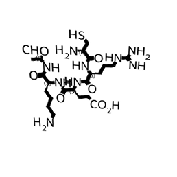 C[C@@H](C=O)NC(=O)[C@H](CCCCN)NC(=O)[C@H](CCC(=O)O)NC(=O)[C@H](CCCNC(=N)N)NC(=O)[C@@H](N)CS